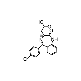 O=C(O)C[C@@H]1N=C(c2ccc(Cl)cc2)c2ccccc2NC1=O